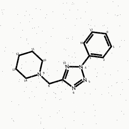 c1ccc(-n2nnc(CN3CCCCC3)n2)cc1